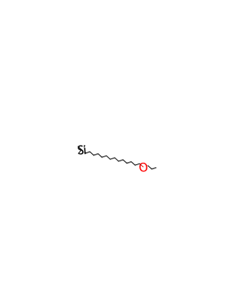 CCCOCCCCCCCCCCCCCC[Si](C)(C)C